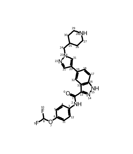 O=C(Nc1ccc(OC(F)F)cc1)c1n[nH]c2ccc(-c3cnn(CC4CCNCC4)c3)cc12